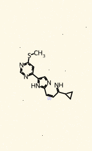 CSc1cc(-c2cnc(/C=C\C(=N)C3CC3)[nH]2)ncn1